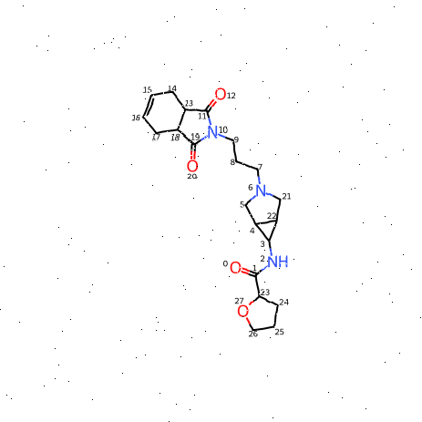 O=C(NC1C2CN(CCCN3C(=O)C4CC=CCC4C3=O)CC21)C1CCCO1